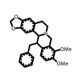 COc1ccc2c(c1OC)CN1CCc3cc4c(cc3C1C2Cc1ccccc1)OCO4